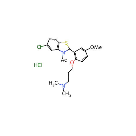 COc1ccc(OCCCN(C)C)c(C2Sc3ccc(Cl)cc3N2C(C)=O)c1.Cl